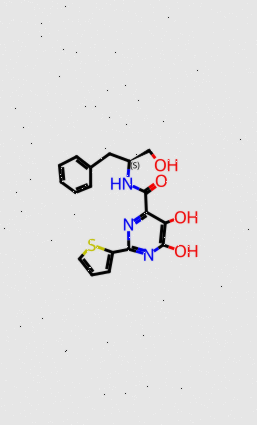 O=C(N[C@H](CO)Cc1ccccc1)c1nc(-c2cccs2)nc(O)c1O